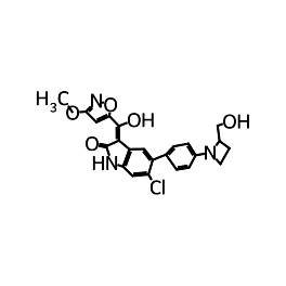 COc1cc(C(O)=C2C(=O)Nc3cc(Cl)c(-c4ccc(N5CCC5CO)cc4)cc32)on1